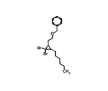 CCCCCCC1C(CCOCc2ccccc2)C1(Br)Br